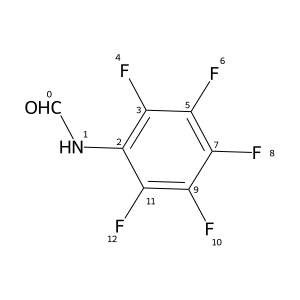 O=CNc1c(F)c(F)c(F)c(F)c1F